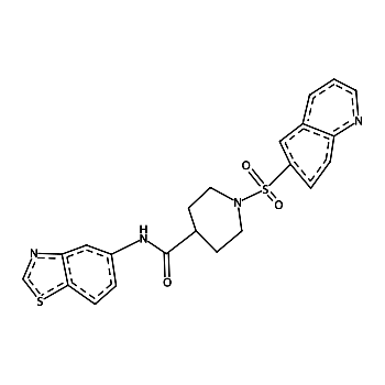 O=C(Nc1ccc2scnc2c1)C1CCN(S(=O)(=O)c2ccc3ncccc3c2)CC1